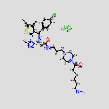 Cc1sc2c(c1C)C(c1ccc(Cl)cc1)=N[C@@H](CC(=O)NCCCN1CCN(C(=O)CCCCCN)CC1)c1nnc(C)n1-2.Cl.Cl